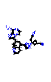 N#CCC1(n2ncc(-c3cc(-c4cnc5c(N)nccn45)cc4ncccc34)n2)CC(C#N)C1